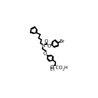 CCOC(Cc1ccc(OCCN(CCCCc2ccccc2)C(=O)Oc2ccc(Br)cc2)cc1)C(=O)O